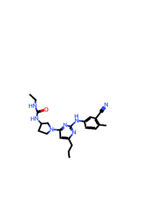 CCCc1cc(N2CCC(NC(=O)NCC)C2)nc(Nc2ccc(C)c(C#N)c2)n1